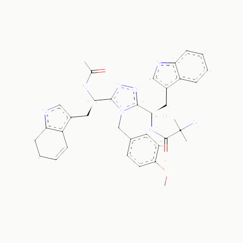 COc1ccc(Cn2c([C@@H](Cc3c[nH]c4c3C=CCC4)NC(C)=O)nnc2[C@@H](Cc2c[nH]c3ccccc23)NC(=O)C(C)(C)N)cc1